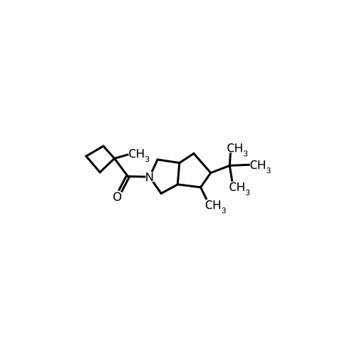 CC1C2CN(C(=O)C3(C)CCC3)CC2CC1C(C)(C)C